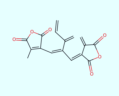 C=CC(=C)C(=C\C1=C(C)C(=O)OC1=O)/C=C1\C(=C)C(=O)OC1=O